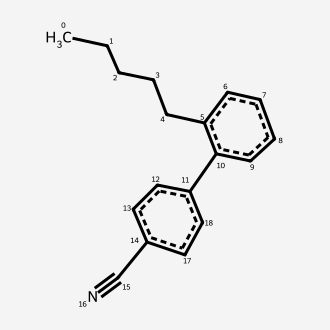 CCCCCc1ccccc1-c1ccc(C#N)cc1